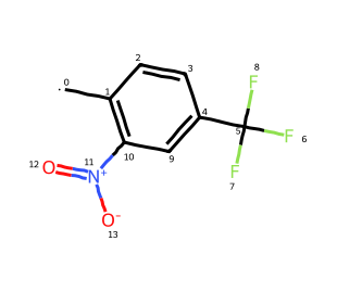 [CH2]c1ccc(C(F)(F)F)cc1[N+](=O)[O-]